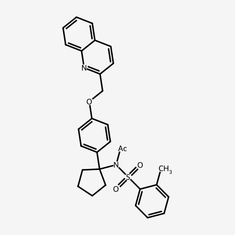 CC(=O)N(C1(c2ccc(OCc3ccc4ccccc4n3)cc2)CCCC1)S(=O)(=O)c1ccccc1C